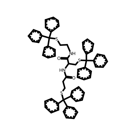 O=C(CCSC(c1ccccc1)(c1ccccc1)c1ccccc1)NC(CSC(c1ccccc1)(c1ccccc1)c1ccccc1)C(=O)NCCSC(c1ccccc1)(c1ccccc1)c1ccccc1